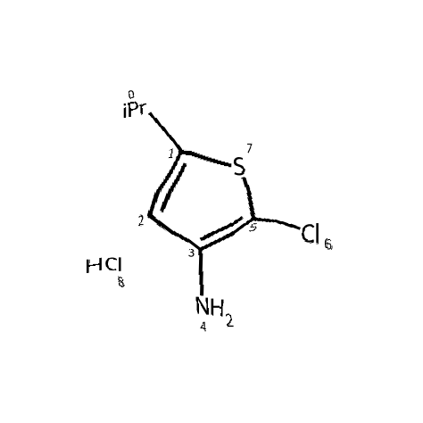 CC(C)c1cc(N)c(Cl)s1.Cl